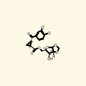 O=C(OC[C@H]1OC2OCO[C@@H]2[C@H]1O)[C@H]1C[C@@H]1C(=O)c1ccc(Cl)c(Cl)c1